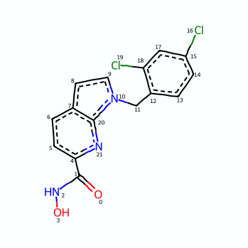 O=C(NO)c1ccc2ccn(Cc3ccc(Cl)cc3Cl)c2n1